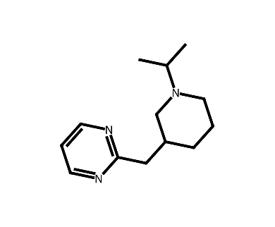 CC(C)N1CCCC(Cc2ncccn2)C1